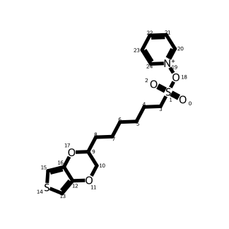 O=S(=O)(CCCCCCC1COc2cscc2O1)O[n+]1ccccc1